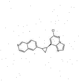 Clc1cc([C@H]2CC2c2ccc3cnccc3c2)c2nccn2n1